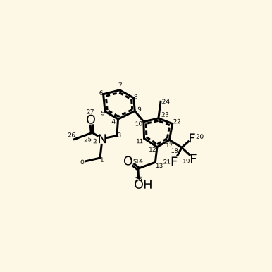 CCN(Cc1ccccc1-c1cc(CC(=O)O)c(C(F)(F)F)cc1C)C(C)=O